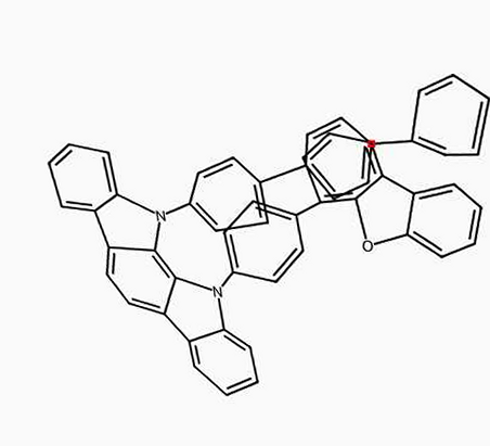 c1ccc(-c2ccc(-c3ccc(-n4c5ccccc5c5ccc6c7ccccc7n(-c7ccc(-c8cccc9c8oc8ccccc89)cc7)c6c54)cc3)cc2)cc1